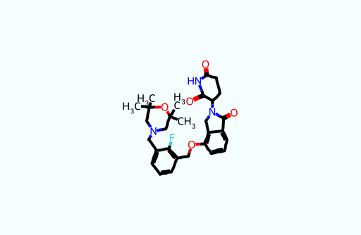 CC1(C)CN(Cc2cccc(COc3cccc4c3CN(C3CCC(=O)NC3=O)C4=O)c2F)CC(C)(C)O1